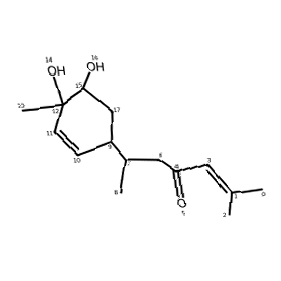 CC(C)=CC(=O)CC(C)C1C=CC(C)(O)C(O)C1